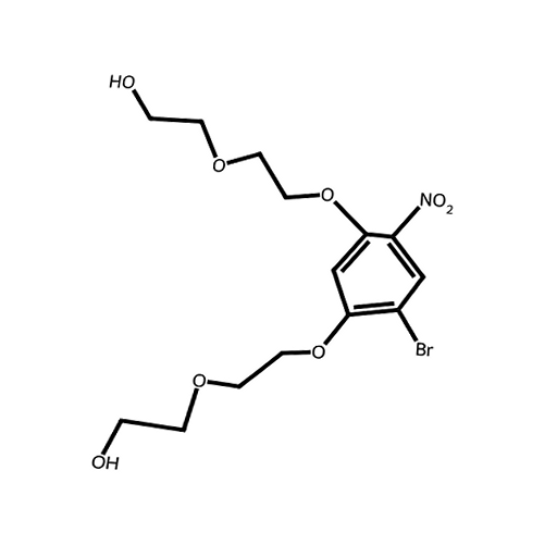 O=[N+]([O-])c1cc(Br)c(OCCOCCO)cc1OCCOCCO